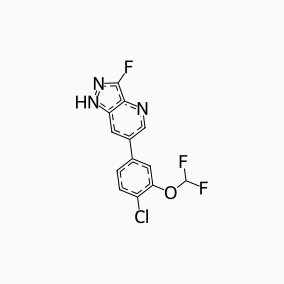 Fc1n[nH]c2cc(-c3ccc(Cl)c(OC(F)F)c3)cnc12